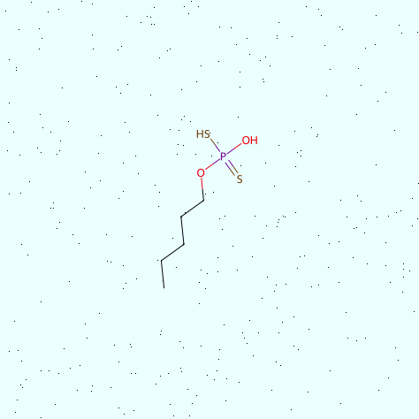 CCCCCOP(O)(=S)S